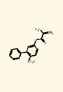 C=C(C)C(=O)Oc1ccc(C(=O)O)c(-c2ccccc2)c1